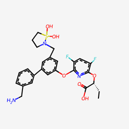 CC[C@@H](Oc1nc(Oc2cc(CN3CCCS3(O)O)cc(-c3cccc(CN)c3)c2)c(F)cc1F)C(=O)O